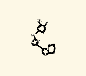 Fc1ccc(Nc2nc(-c3cnc4ccccn34)cs2)cc1C(F)(F)F